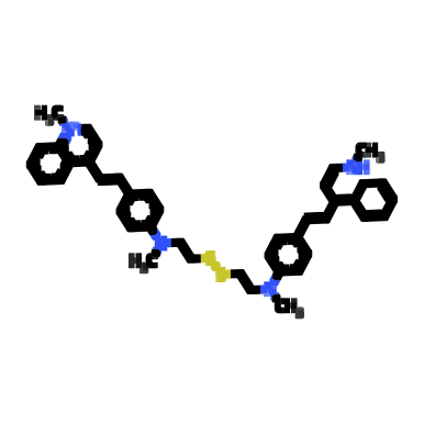 CN\C=C/C(/C=C/c1ccc(N(C)CCSSCCN(C)c2ccc(/C=C/c3cc[n+](C)c4ccccc34)cc2)cc1)=C1/C=CC=CC1